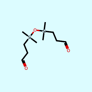 C[Si](C)(CCC=O)O[Si](C)(C)CCC=O